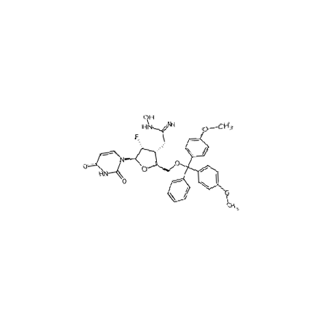 COc1ccc(C(OC[C@H]2O[C@@H](n3ccc(=O)[nH]c3=O)[C@H](F)[C@@H]2CC(=N)NO)(c2ccccc2)c2ccc(OC)cc2)cc1